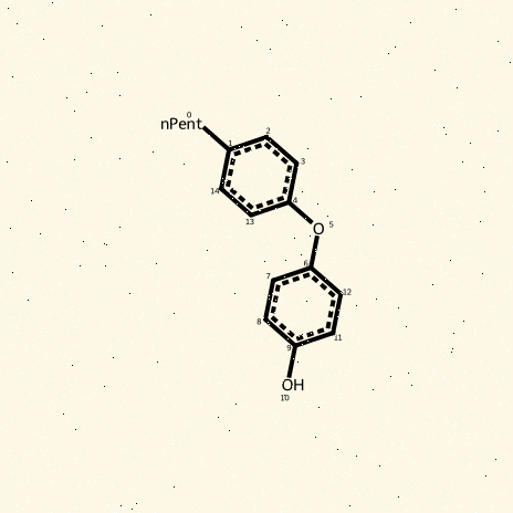 CCCCCc1ccc(Oc2ccc(O)cc2)cc1